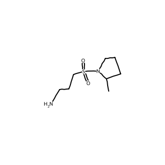 CC1CCCN1S(=O)(=O)CCCN